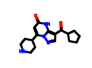 O=C(c1cnn2c(C3CCNCC3)cc(=O)[nH]c12)C1CCCC1